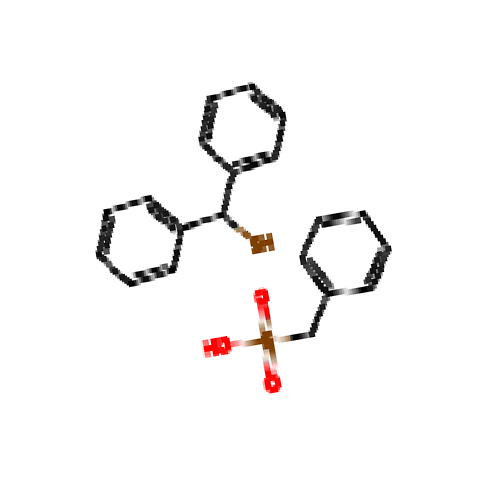 O=S(=O)(O)Cc1ccccc1.SC(c1ccccc1)c1ccccc1